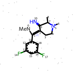 CN/C(=C1/CCN(C)C(C)C1=N)c1cc(F)cc(F)c1